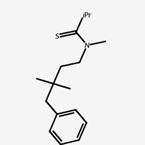 CC(C)C(=S)N(C)CCC(C)(C)Cc1ccccc1